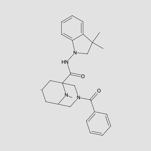 CN1C2C[CH]CC1(C(=O)NN1CC(C)(C)c3ccccc31)CN(C(=O)c1ccccc1)C2